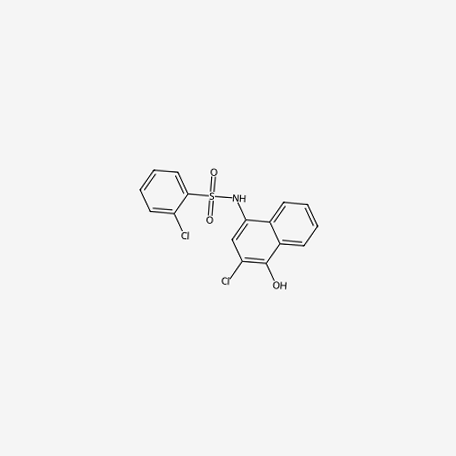 O=S(=O)(Nc1cc(Cl)c(O)c2ccccc12)c1ccccc1Cl